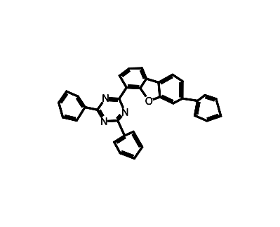 c1ccc(-c2ccc3c(c2)oc2c(-c4nc(-c5ccccc5)nc(-c5ccccc5)n4)cccc23)cc1